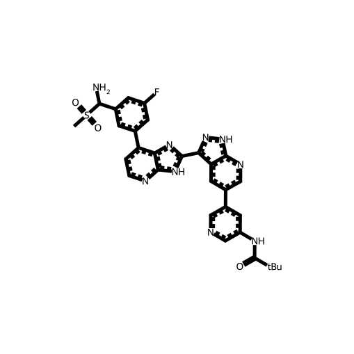 CC(C)(C)C(=O)Nc1cncc(-c2cnc3[nH]nc(-c4nc5c(-c6cc(F)cc(C(N)S(C)(=O)=O)c6)ccnc5[nH]4)c3c2)c1